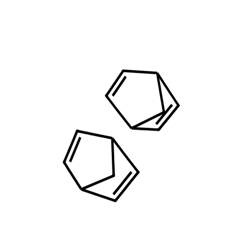 C1=CC2C=CC1C2.C1=CC2C=CC1C2